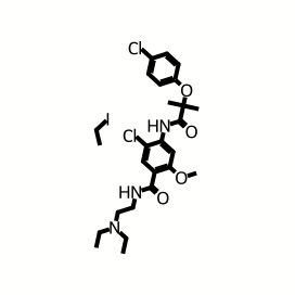 CCI.CCN(CC)CCNC(=O)c1cc(Cl)c(NC(=O)C(C)(C)Oc2ccc(Cl)cc2)cc1OC